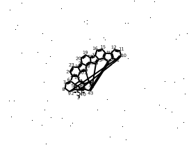 C[Si](C)(C)CC12C3=CCC4c5ccc6c7ccc8c9ccc%10c%11ccc3c3c1c1c%12c(c5c6c5c7c8c6c9c%10c(c3%11)c1c6c%125)C42